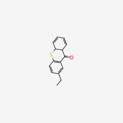 CCc1ccc2c(c1)C(=O)C1C=CC=CC1S2